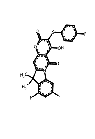 CC1(C)c2c(F)cc(F)cc2-n2c1cc1oc(=O)c(Sc3ccc(F)cc3)c(O)c1c2=O